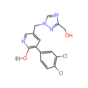 CCOc1ncc(Cn2cnc(CO)n2)cc1-c1ccc(Cl)c(Cl)c1